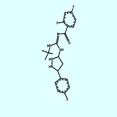 CC(C)(C)N/C(=N/C(=O)c1ccc(F)cc1F)NC1CC(c2ccc(F)cc2)NN1